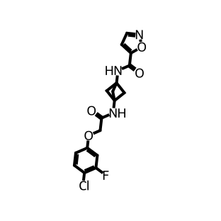 O=C(COc1ccc(Cl)c(F)c1)NC12CC(NC(=O)c3ccno3)(C1)C2